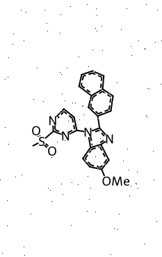 COc1ccc2c(c1)nc(-c1ccc3ccccc3c1)n2-c1ccnc(S(C)(=O)=O)n1